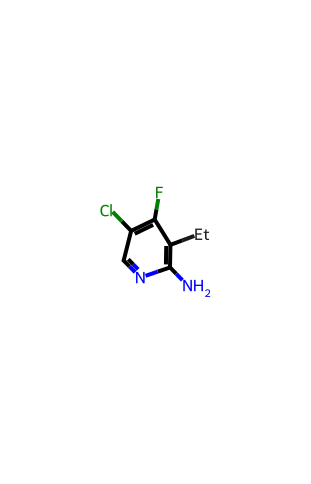 CCc1c(N)ncc(Cl)c1F